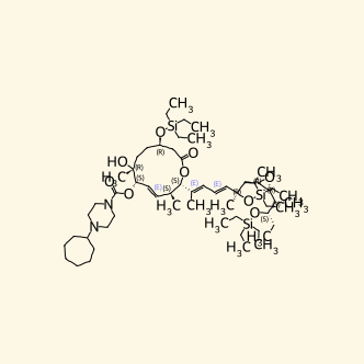 CC[C@H](O[Si](CC)(CC)CC)[C@@H](C)[C@H]1O[C@@H]1C[C@](C)(/C=C/C=C(\C)[C@H]1OC(=O)C[C@H](O[Si](CC)(CC)CC)CC[C@@](C)(O)[C@@H](OC(=O)N2CCN(C3CCCCCC3)CC2)/C=C/[C@@H]1C)O[Si](CC)(CC)CC